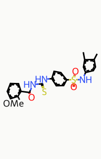 COc1ccccc1C(=O)NC(=S)Nc1ccc(S(=O)(=O)Nc2ccc(C)c(C)c2)cc1